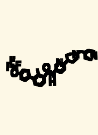 Cc1c(C(=O)Nc2ccc(C3CCN(Cc4ccncc4)CC3)nc2)cccc1-c1ccc(OC(F)(F)F)cc1